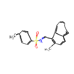 Cc1ccc(S(=O)(=O)/N=C/c2c(C)ccc3ccccc23)cc1